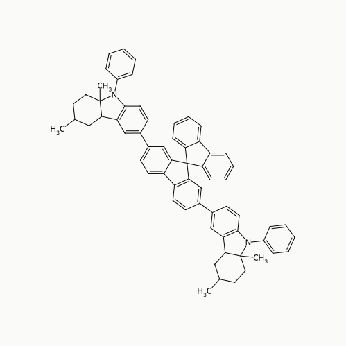 CC1CCC2(C)C(C1)c1cc(-c3ccc4c(c3)C3(c5ccccc5-c5ccccc53)c3cc(-c5ccc6c(c5)C5CC(C)CCC5(C)N6c5ccccc5)ccc3-4)ccc1N2c1ccccc1